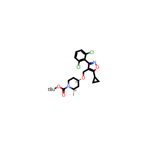 C[C@H]1C[C@@H](OCc2c(-c3c(Cl)cccc3Cl)noc2C2CC2)CCN1C(=O)OC(C)(C)C